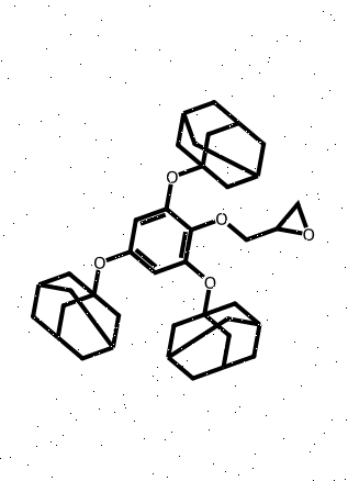 c1c(OC23CC4CC(CC(C4)C2)C3)cc(OC23CC4CC(CC(C4)C2)C3)c(OCC2CO2)c1OC12CC3CC(CC(C3)C1)C2